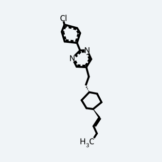 CCC=C[C@H]1CC[C@H](CCc2cnc(-c3ccc(Cl)cc3)nc2)CC1